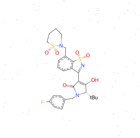 CC(C)(C)[C@H]1C(O)=C(C2=NS(=O)(=O)c3c(CN4CCCCS4(=O)=O)cccc32)C(=O)N1Cc1ccc(F)cc1